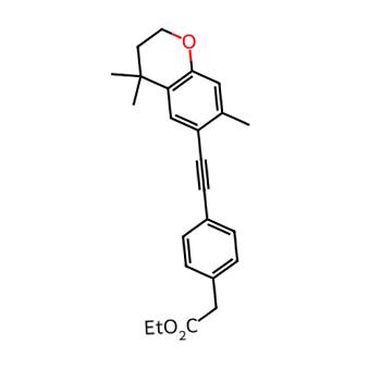 CCOC(=O)Cc1ccc(C#Cc2cc3c(cc2C)OCCC3(C)C)cc1